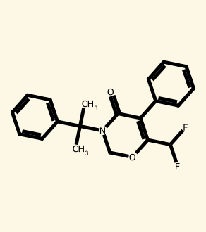 CC(C)(c1ccccc1)N1COC(C(F)F)=C(c2ccccc2)C1=O